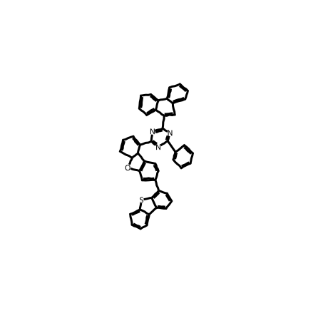 C1=CC2Oc3cc(-c4cccc5c4sc4ccccc45)ccc3C2C(c2nc(-c3ccccc3)nc(-c3cc4ccccc4c4ccccc34)n2)=C1